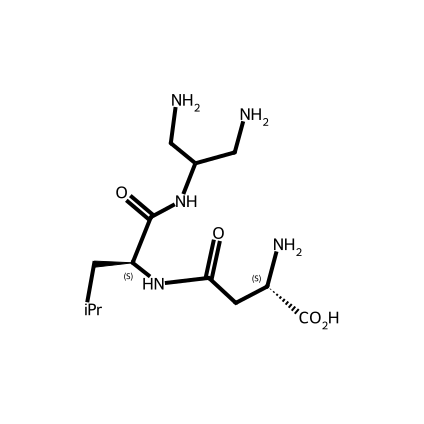 CC(C)C[C@H](NC(=O)C[C@H](N)C(=O)O)C(=O)NC(CN)CN